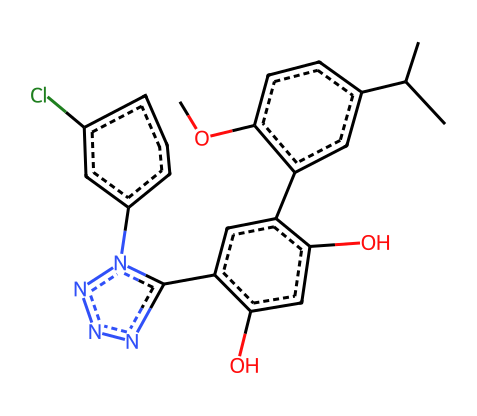 COc1ccc(C(C)C)cc1-c1cc(-c2nnnn2-c2cccc(Cl)c2)c(O)cc1O